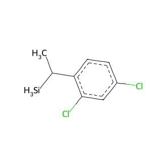 CC([SiH3])c1ccc(Cl)cc1Cl